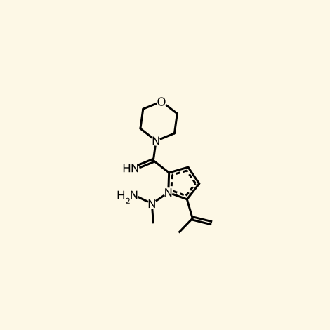 C=C(C)c1ccc(C(=N)N2CCOCC2)n1N(C)N